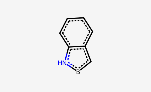 b1cc2ccccc2[nH]1